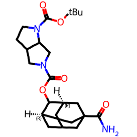 CC(C)(C)OC(=O)N1CCC2CN(C(=O)OC3[C@@H]4CC5C[C@@H]3CC(C(N)=O)(C5)C4)CC21